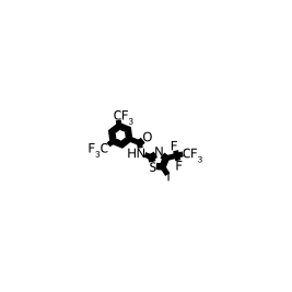 O=C(Nc1nc(C(F)(F)C(F)(F)F)c(I)s1)c1cc(C(F)(F)F)cc(C(F)(F)F)c1